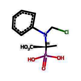 C[C@@](C(=O)O)(N(CCl)c1ccccc1)P(=O)(O)O